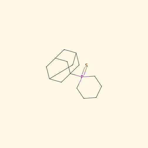 S=P1(C23CC4CC(CC(C4)C2)C3)CCCCC1